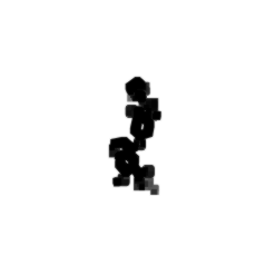 CNC1(C(=O)Nc2nccs2)C=CC(Oc2ccnc3cc(OC)c(C(N)=O)cc23)C=C1